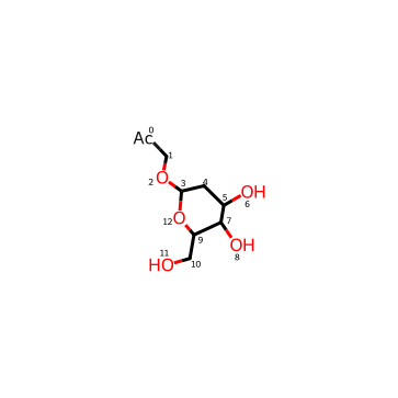 CC(=O)COC1CC(O)C(O)C(CO)O1